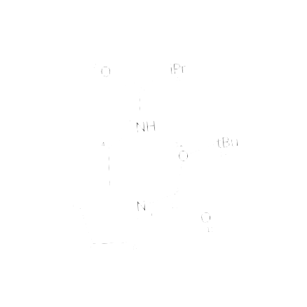 CC(C)C(=O)NCC1CCCN1C(=O)OC(C)(C)C